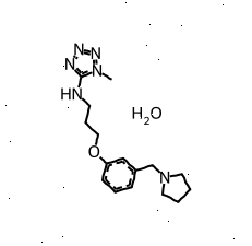 Cn1nnnc1NCCCOc1cccc(CN2CCCC2)c1.O